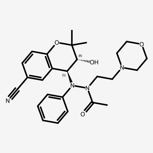 CC(=O)N(CCN1CCOCC1)N(c1ccccc1)[C@H]1c2cc(C#N)ccc2OC(C)(C)[C@@H]1O